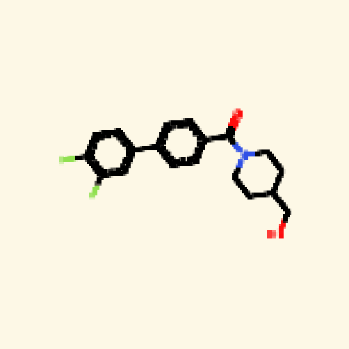 O=C(c1ccc(-c2ccc(F)c(F)c2)cc1)N1CCC(CO)CC1